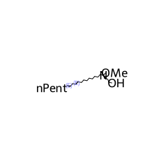 CCCCC/C=C/C/C=C/CCCCCCCCN(CCCO)OC